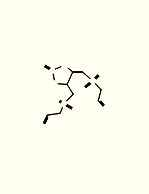 C=CCS(=O)(=O)CC1OS(=O)OC1CS(=O)(=O)CC=C